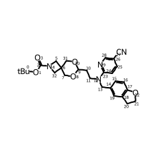 CC(C)(C)OC(=O)N1CC2(COC(CCN(Cc3ccc4c(c3)CCO4)c3ccc(C#N)cn3)OC2)C1